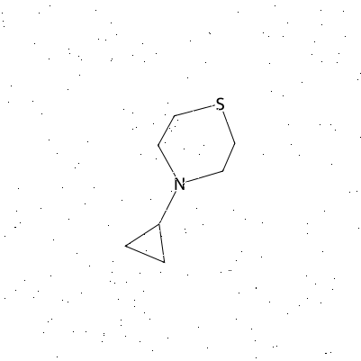 C1CN(C2CC2)CCS1